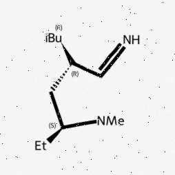 CC[C@@H](C[C@@H](C=N)[C@H](C)CC)NC